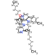 CCCCCCCCCCCC(n1c2cc(C)ccc2c2ccnc(C)c21)n1c2cc(OCCCCCC)ccc2c2ccnc(C)c21